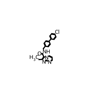 CCc1nc2ncccn2c1C(=O)NCc1ccc(-c2ccc(Cl)cc2)cc1